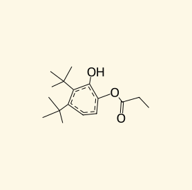 CCC(=O)Oc1ccc(C(C)(C)C)c(C(C)(C)C)c1O